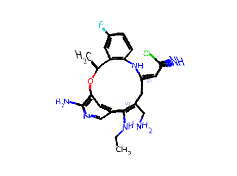 CCN/C1=C(\CN)C/C(=C/C(=N)Cl)Nc2ccc(F)cc2C(C)Oc2cc1cnc2N